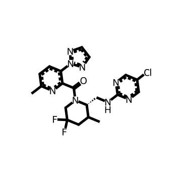 Cc1ccc(-n2nccn2)c(C(=O)N2CC(F)(F)CC(C)[C@H]2CNc2ncc(Cl)cn2)n1